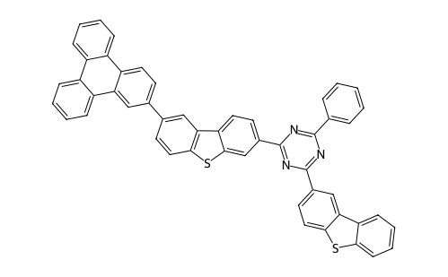 c1ccc(-c2nc(-c3ccc4c(c3)sc3ccc(-c5ccc6c7ccccc7c7ccccc7c6c5)cc34)nc(-c3ccc4sc5ccccc5c4c3)n2)cc1